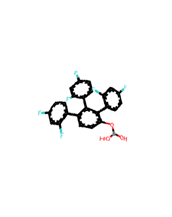 OB(O)Oc1ccc(-c2ccc(F)cc2F)c(-c2ccc(F)cc2F)c1-c1ccc(F)cc1F